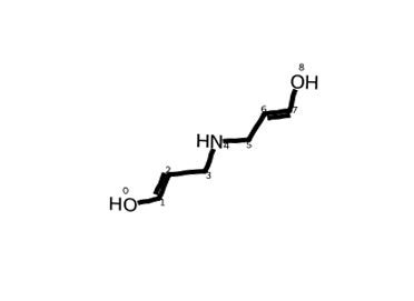 OC=CCNCC=CO